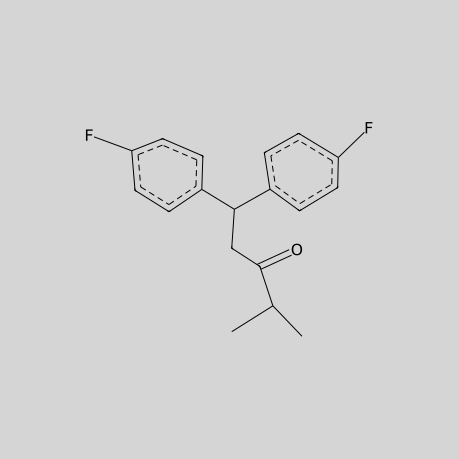 CC(C)C(=O)CC(c1ccc(F)cc1)c1ccc(F)cc1